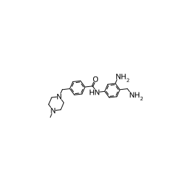 CN1CCN(Cc2ccc(C(=O)Nc3ccc(CN)c(N)c3)cc2)CC1